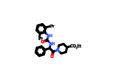 CCOC(=O)C1CCN(C(=O)C(NC(=O)Nc2c(C(C)C)cccc2C(C)C)c2ccccc2)CC1